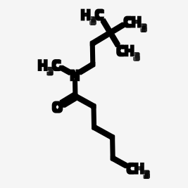 CCCCCC(=O)N(C)CCC(C)(C)C